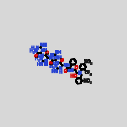 N=C(N)NC(NC(=O)C(NC(=N)N)NC(=O)C(NC(=N)N)NC(=O)C(NC(=N)N)NC(=O)C(NC(=O)C(O)N(Cc1ccccc1[N+](=O)[O-])c1ccc([N+](=O)[O-])cc1C(F)(F)F)c1ccccc1)C(N)=O